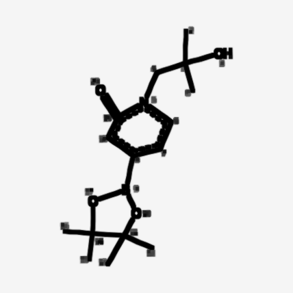 CC(C)(O)Cn1ccc(B2OC(C)(C)C(C)(C)O2)cc1=O